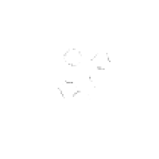 CC(N=Cc1ccccc1-c1ccccc1)c1ccc(F)cc1F